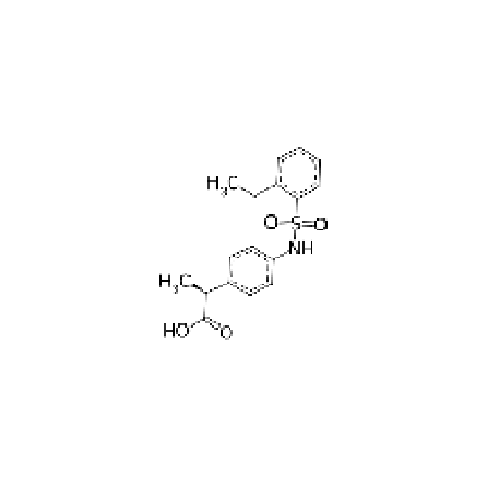 CCc1ccccc1S(=O)(=O)Nc1ccc([C@H](C)C(=O)O)cc1